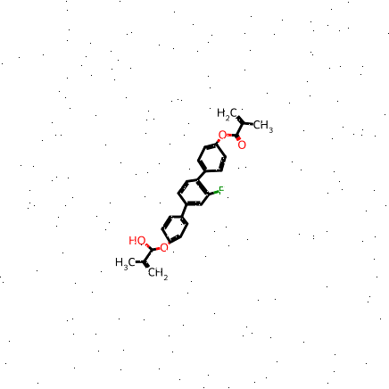 C=C(C)C(=O)Oc1ccc(-c2ccc(-c3ccc(OC(O)C(=C)C)cc3)cc2F)cc1